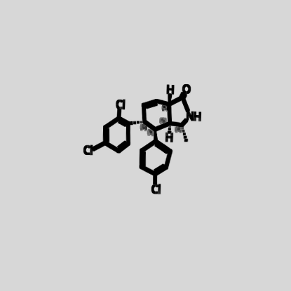 C[C@H]1NC(=O)[C@H]2C=C[C@@H](c3ccc(Cl)cc3Cl)[C@H](c3ccc(Cl)cc3)[C@@H]21